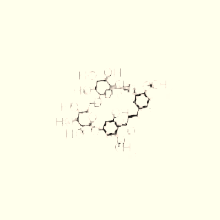 COc1ccc(/C=C/C(=O)c2c(O)cc(O[C@@H]3O[C@H](CO[C@@H]4O[C@@H](C)[C@H](O)[C@@H](O)[C@H]4O)[C@@H](O)[C@H](O)[C@H]3O)cc2OC)cc1OC